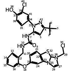 CC(C)(C)c1cc(NC(=O)NCc2ccccc2Oc2ccc3c(c2)N2C=CN(CCl)C2S3)n(-c2ccc(O)c(Cl)c2)n1